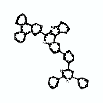 c1ccc(-c2cc(-c3cccc(-c4ccc5nc(-c6ccc7c8ccccc8c8ccccc8c7c6)c6sc7ccccc7c6c5c4)c3)nc(-c3ccccc3)n2)cc1